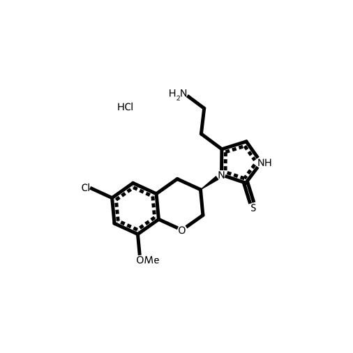 COc1cc(Cl)cc2c1OC[C@H](n1c(CCN)c[nH]c1=S)C2.Cl